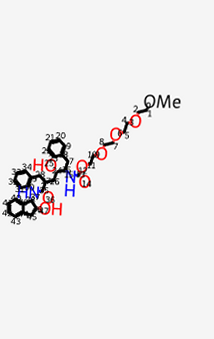 COCCOCCOCCOCCOC(=O)NC(Cc1ccccc1)C(O)CC(Cc1ccccc1)C(=O)NC1c2ccccc2CC1O